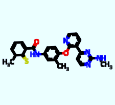 CNc1nccc(-c2cccnc2Oc2ccc(NC(=O)C3=CC=CC(C)C3=S)cc2C)n1